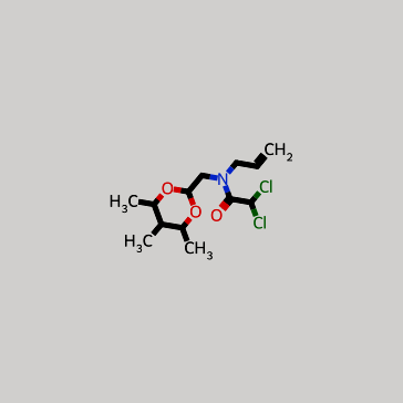 C=CCN(CC1OC(C)C(C)C(C)O1)C(=O)C(Cl)Cl